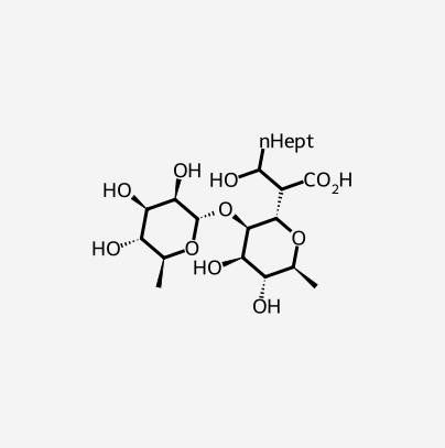 CCCCCCCC(O)C(C(=O)O)[C@@H]1O[C@@H](C)[C@H](O)[C@@H](O)[C@H]1O[C@@H]1O[C@@H](C)[C@H](O)[C@@H](O)[C@H]1O